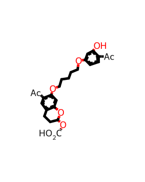 CC(=O)c1ccc(OCCCCCOc2cc3c(cc2C(C)=O)CCC(OC(=O)O)O3)cc1O